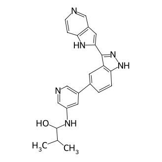 CC(C)C(O)Nc1cncc(-c2ccc3[nH]nc(-c4cc5cnccc5[nH]4)c3c2)c1